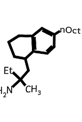 CCCCCCCCc1ccc2c(c1)CCCC2CC(C)(N)CC